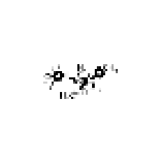 CCOC(=O)c1c(C)c(SCc2ccc(C)cc2)c(C)n1CCCOc1cc(C)c(Cl)c(C)c1